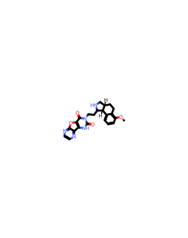 COc1cccc2c1CC[C@H]1CNC(CCn3c(=O)[nH]c4c(oc5nccnc54)c3=O)[C@@H]21